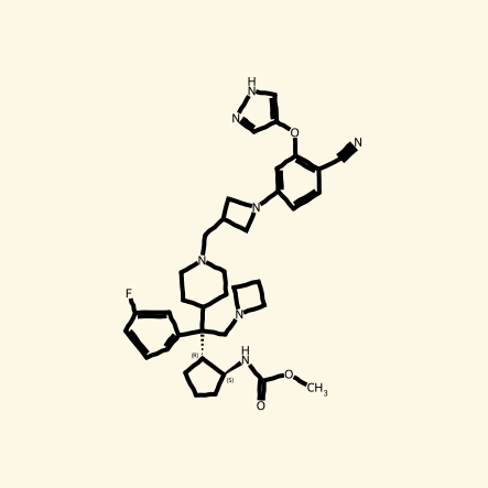 COC(=O)N[C@H]1CCC[C@@H]1C(CN1CCC1)(c1cccc(F)c1)C1CCN(CC2CN(c3ccc(C#N)c(Oc4cn[nH]c4)c3)C2)CC1